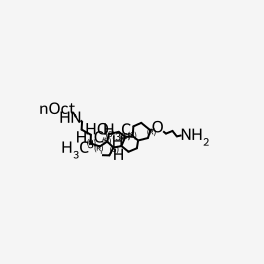 CCCCCCCCNCCC[C@@H](C)[C@H]1CC[C@H]2C3CCC4C[C@H](OCCCN)CC[C@]4(C)[C@H]3C[C@H](O)[C@]12C